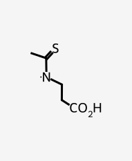 CC(=S)[N]CCC(=O)O